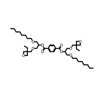 CCCCCCCCOCC(COCC1(CC)COC1)OC(=O)c1ccc(C(=O)OC(COCCCCCCCC)COCC2(CC)COC2)cc1